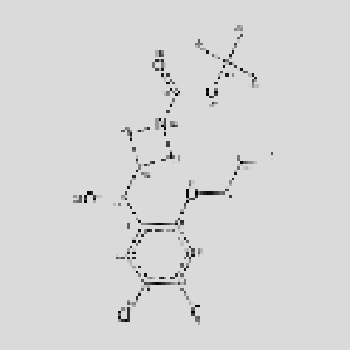 C=CCOc1cc(Cl)c(Cl)cc1C(=O)C1CN(C(=O)OC(C)(C)C)C1